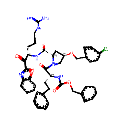 N=C(N)NCCC[C@H](NC(=O)[C@@H]1C[C@@H](OCc2ccc(Cl)cc2)CN1C(=O)[C@@H](CCc1ccccc1)NC(=O)OCc1ccccc1)C(=O)c1nc2ccccc2o1